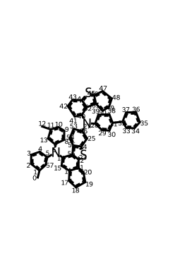 Cc1cccc(N(c2cccc(C)c2)c2cc3ccccc3c3sc4cc(N(c5ccc(-c6ccccc6)cc5)c5cccc6sc7ccccc7c56)ccc4c23)c1